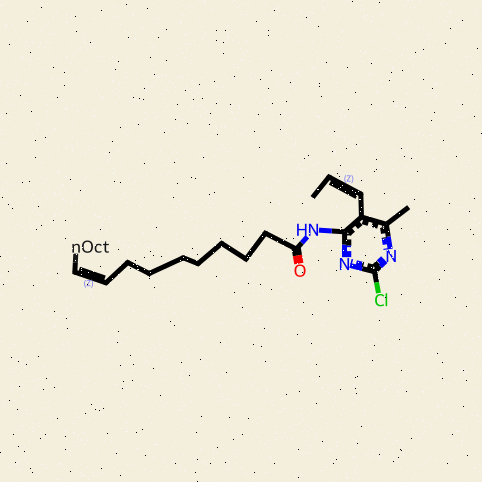 C/C=C\c1c(C)nc(Cl)nc1NC(=O)CCCCCCC/C=C\CCCCCCCC